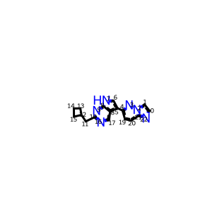 c1cn2nc(-c3c[nH]c4nc(CC5CCC5)ncc34)ccc2n1